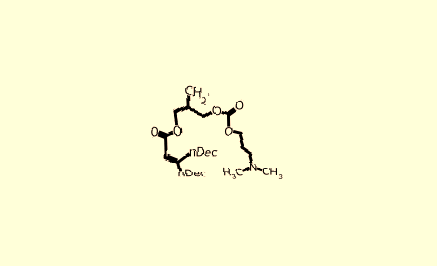 [CH2]C(COC(=O)C=C(CCCCCCCCCC)CCCCCCCCCC)COC(=O)OCCCN(C)C